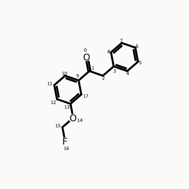 O=C(Cc1ccccc1)c1cccc(OCF)c1